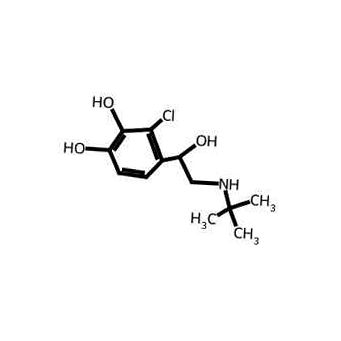 CC(C)(C)NCC(O)c1ccc(O)c(O)c1Cl